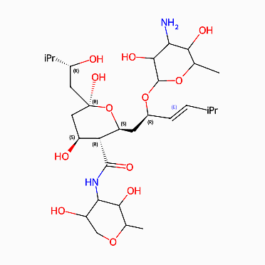 CC(C)/C=C/[C@@H](C[C@@H]1O[C@](O)(C[C@@H](O)C(C)C)C[C@H](O)[C@H]1C(=O)NC1C(O)COC(C)C1O)OC1OC(C)C(O)C(N)C1O